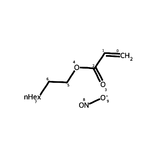 C=CC(=O)OCCCCCCCC.O=[NH+][O-]